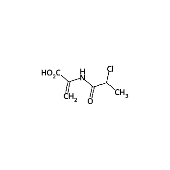 C=C(NC(=O)C(C)Cl)C(=O)O